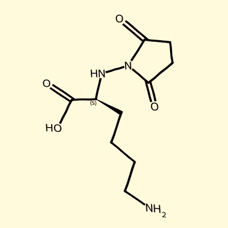 NCCCC[C@H](NN1C(=O)CCC1=O)C(=O)O